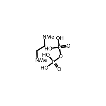 CNCCNC.O=P(O)(O)OP(=O)(O)O